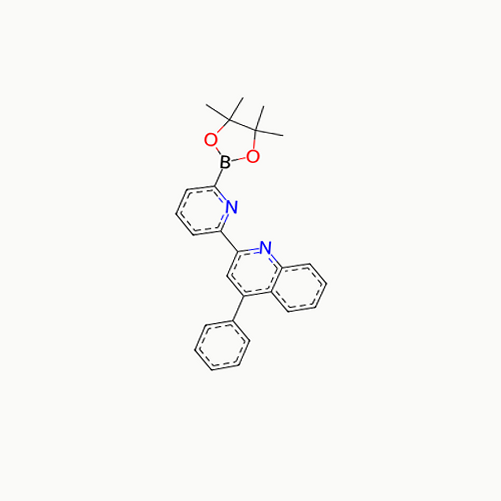 CC1(C)OB(c2cccc(-c3cc(-c4ccccc4)c4ccccc4n3)n2)OC1(C)C